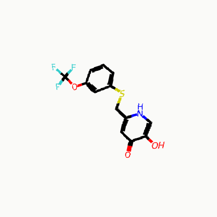 O=c1cc(CSc2cccc(OC(F)(F)F)c2)[nH]cc1O